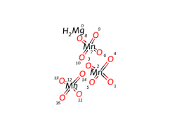 [MgH2].[O]=[Mn](=[O])(=[O])=[O].[O]=[Mn](=[O])(=[O])=[O].[O]=[Mn](=[O])(=[O])=[O]